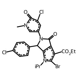 CCOC(=O)c1c2c(n(C(C)C)c1Br)C(c1ccc(Cl)cc1)N(c1cc(Cl)c(=O)n(C)c1)C2=O